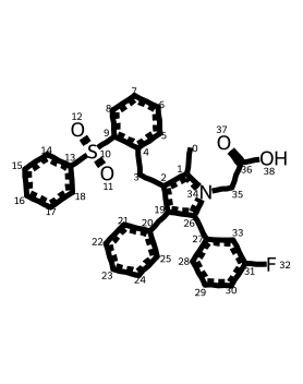 Cc1c(Cc2ccccc2S(=O)(=O)c2ccccc2)c(-c2ccccc2)c(-c2cccc(F)c2)n1CC(=O)O